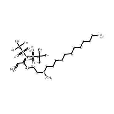 C=CC(OCCN(C)CCCCCCCCCCCC)=[N+](S(=O)(=O)C(F)(F)F)S(=O)(=O)C(F)(F)F